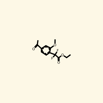 CCOC(=O)C(F)(F)c1ccc(C(C)=O)cc1OC